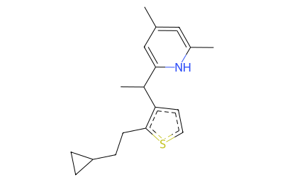 CC1=C=C(C)NC(C(C)c2ccsc2CCC2CC2)=C1